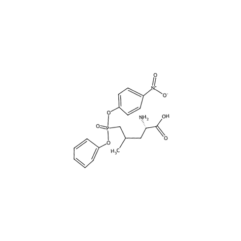 CC(C[C@H](N)C(=O)O)CP(=O)(Oc1ccccc1)Oc1ccc([N+](=O)[O-])cc1